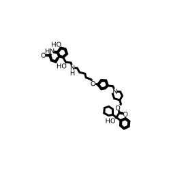 O=C(OCC1CCN(Cc2ccc(OCCCCCNC[C@H](O)c3ccc(O)c4[nH]c(=O)ccc34)cc2)CC1)C(O)(c1ccccc1)C1CCCCC1